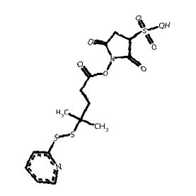 CC(C)(CCC(=O)ON1C(=O)CC(S(=O)(=O)O)C1=O)SSc1ccccn1